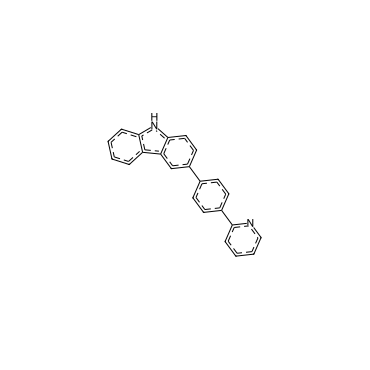 c1ccc(-c2ccc(-c3ccc4[nH]c5ccccc5c4c3)cc2)nc1